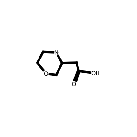 O=C(O)CC1COCC[N]1